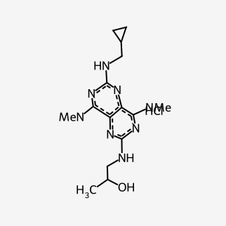 CNc1nc(NCC2CC2)nc2c(NC)nc(NCC(C)O)nc12.Cl